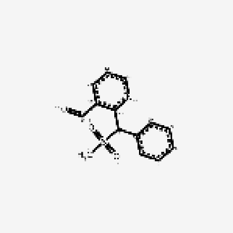 CS(=O)(=O)C(c1ccccc1)c1ncccc1C=O